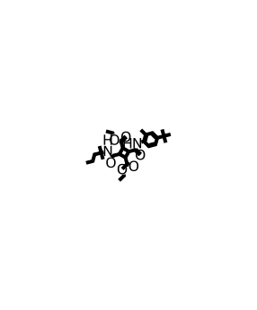 CCCC(C)(C)NC(=O)C1C(C(=O)OCC)C(C(=O)Nc2ccc(C(C)(C)C)cc2C)C1C(=O)OCC